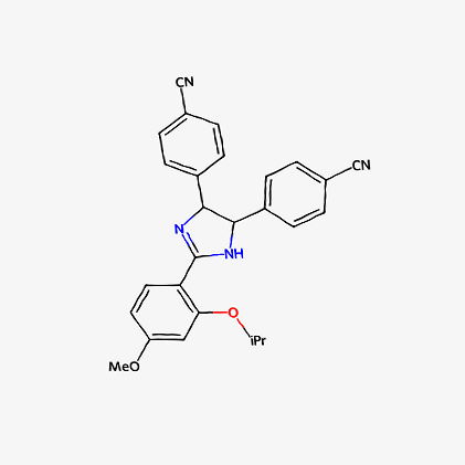 COc1ccc(C2=NC(c3ccc(C#N)cc3)C(c3ccc(C#N)cc3)N2)c(OC(C)C)c1